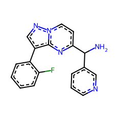 NC(c1cccnc1)c1ccn2ncc(-c3ccccc3F)c2n1